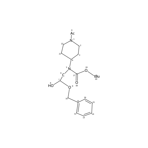 CC(=O)N1CCC(N(CC(O)OCc2ccccc2)C(=O)OC(C)(C)C)CC1